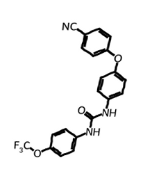 N#Cc1ccc(Oc2ccc(NC(=O)Nc3ccc(OC(F)(F)F)cc3)cc2)cc1